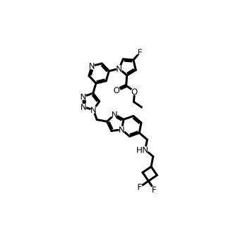 CCOC(=O)c1cc(F)cn1-c1cncc(-c2cn(Cc3cn4cc(CNCC5CC(F)(F)C5)ccc4n3)nn2)c1